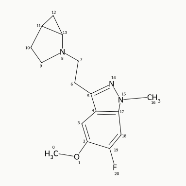 COc1cc2c(CCN3CCC4CC43)nn(C)c2cc1F